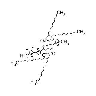 CCCCCCCCCCCCC(CCCCCCCCCC)CN1C(=O)c2cc(-c3ccc(-c4sc(C)c(F)c4F)s3)c3c4c(cc(-c5ccc(C)s5)c(c24)C1=O)C(=O)N(CC(CCCCCCCCCC)CCCCCCCCCCCC)C3=O